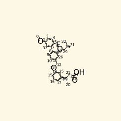 COc1ccc(F)c(-c2ccc(COc3cccc([C@@H](C)CC(=O)O)c3)cc2OCC(C)C)c1